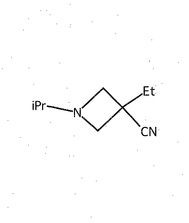 CCC1(C#N)CN(C(C)C)C1